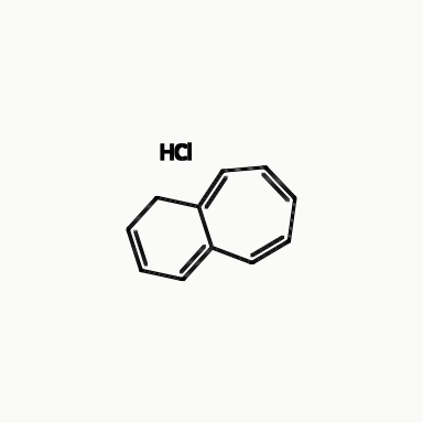 C1=CC=C2CC=CC=C2C=C1.Cl